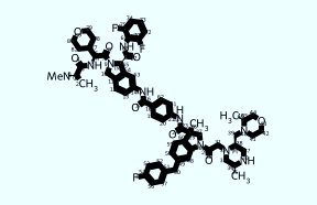 CN[C@@H](C)C(=O)N[C@H](C(=O)N1Cc2ccc(NC(=O)c3ccc(NC(=O)C4(C)CN(C(=O)CN5C[C@@H](C)NC[C@@H]5CN5CCOC[C@H]5C)c5cc(Cc6ccc(F)cc6)ccc54)cc3)cc2[C@H]1C(=O)Nc1c(F)cccc1F)C1CCOCC1